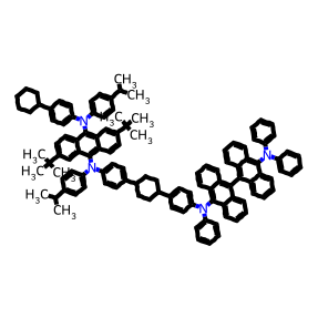 CC(C)c1ccc(N(c2ccc(C3CCCCC3)cc2)c2c3ccc(C(C)(C)C)cc3c(N(c3ccc(C(C)C)cc3)c3ccc(C4CCC(c5ccc(N(c6ccccc6)c6c7ccccc7c(-c7c8ccccc8c(N(c8ccccc8)c8ccccc8)c8ccccc78)c7ccccc67)cc5)CC4)cc3)c3ccc(C(C)(C)C)cc23)cc1